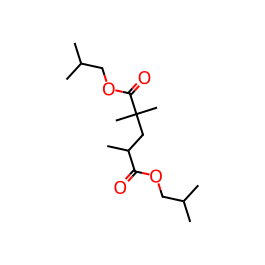 CC(C)COC(=O)C(C)CC(C)(C)C(=O)OCC(C)C